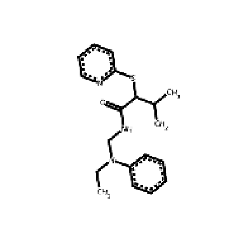 CCN(CNC(=O)C(Sc1ccccn1)C(C)C)c1ccccc1